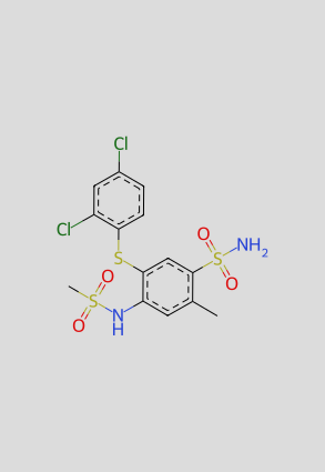 Cc1cc(NS(C)(=O)=O)c(Sc2ccc(Cl)cc2Cl)cc1S(N)(=O)=O